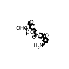 Cc1occc1C(NC=O)c1ccc(C(=O)N2CCC3(CC2)COc2ccc(CN)cc23)o1